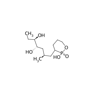 CC[C@@H](O)[C@@H](O)C[C@H](C)CC1CCCOP1(=O)O